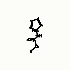 COC(=O)N[SH]1C=CC=C1